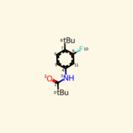 CC(C)(C)C(=O)Nc1ccc(C(C)(C)C)c(F)c1